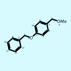 [CH2]OCc1ccc(OCc2ccccc2)cc1